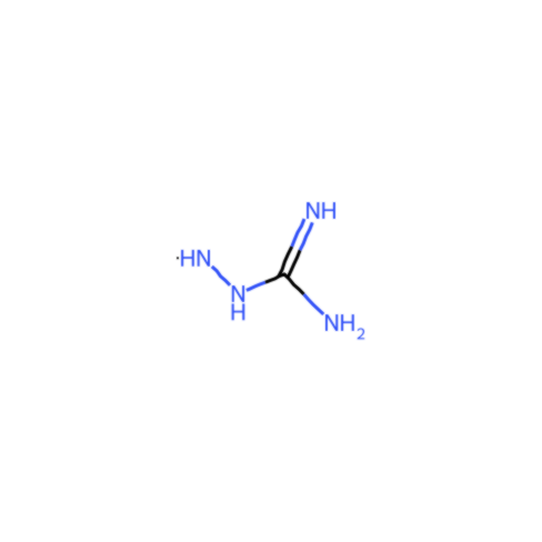 [NH]NC(=N)N